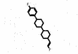 FC=CC1CCC(C2CCC(c3ccc(F)cc3)CC2)CC1